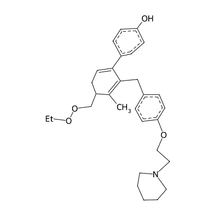 CCOOCC1CC=C(c2ccc(O)cc2)C(Cc2ccc(OCCN3CCCCC3)cc2)=C1C